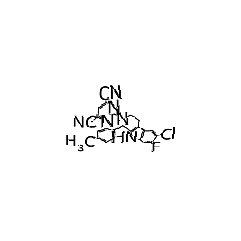 Cc1ccc(C2c3[nH]c4cc(F)c(Cl)cc4c3CCN2c2nc(C#N)cc(C#N)n2)cc1